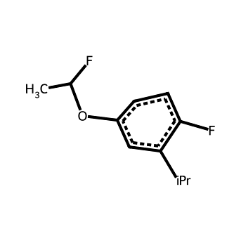 CC(F)Oc1ccc(F)c(C(C)C)c1